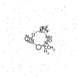 CCN1C(=O)NCC(C(F)(F)F)N(C)CCOc2nc(cn3ccnc23)-c2cccc(c2)[C@H]1C